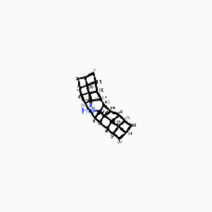 C1C2CC3C4C5C6C7C8C9CC%10CC%11C%12C%13C%14C%15C%16C1C23C%164C%155NC%146C%137C%128C%10%119